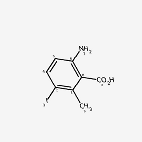 Cc1c(I)ccc(N)c1C(=O)O